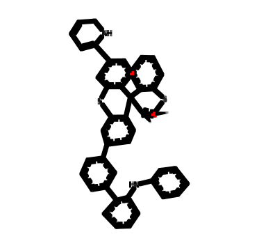 C1=CCNC(c2ccc3c(c2)Sc2cc(-c4cccc(-c5ccccc5Nc5ccccc5)c4)ccc2C32c3ccccc3Sc3ccccc32)=C1